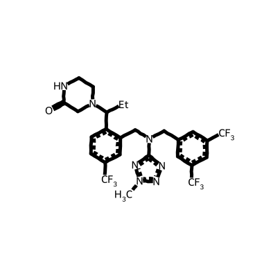 CCC(c1ccc(C(F)(F)F)cc1CN(Cc1cc(C(F)(F)F)cc(C(F)(F)F)c1)c1nnn(C)n1)N1CCNC(=O)C1